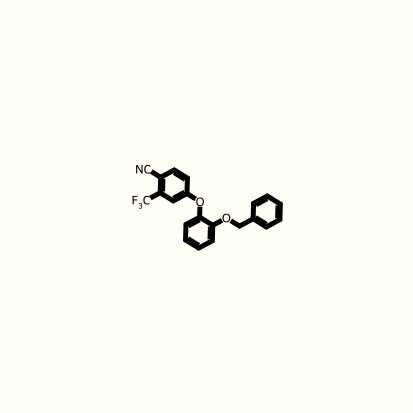 N#Cc1ccc(Oc2ccccc2OCc2ccccc2)cc1C(F)(F)F